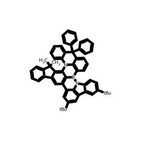 CC(C)(C)c1ccc2c(c1)c1cc(C(C)(C)C)cc3c1n2B1c2cccc4c2N(c2ccccc2C4(c2ccccc2)c2ccccc2)c2c1c-3cc1c2C(C)(C)c2ccccc2-1